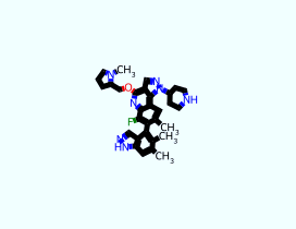 Cc1cc2[nH]ncc2c(-c2c(C)cc3c(nc(OCC4CCCN4C)c4cnn(C5CCNCC5)c43)c2F)c1C